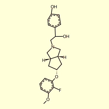 COc1cccc(O[C@@H]2C[C@@H]3CN(CC(O)c4ccc(O)cc4)C[C@@H]3C2)c1F